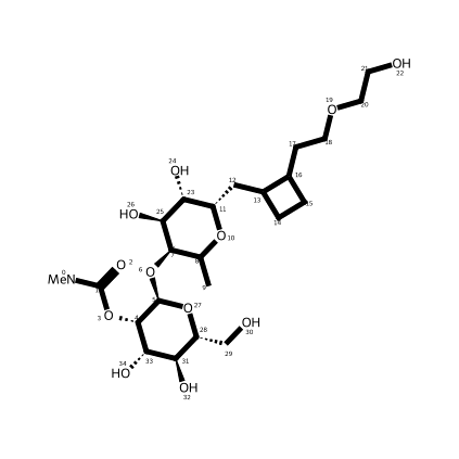 CNC(=O)O[C@@H]1[C@@H](O[C@@H]2C(C)O[C@@H](CC3CCC3CCOCCO)[C@@H](O)[C@@H]2O)O[C@H](CO)[C@@H](O)[C@@H]1O